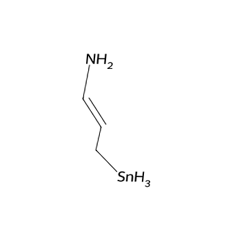 NC=C[CH2][SnH3]